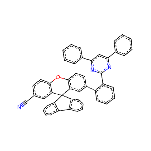 N#Cc1ccc2c(c1)C1(c3cc(-c4ccccc4-c4nc(-c5ccccc5)cc(-c5ccccc5)n4)ccc3O2)c2ccccc2-c2ccccc21